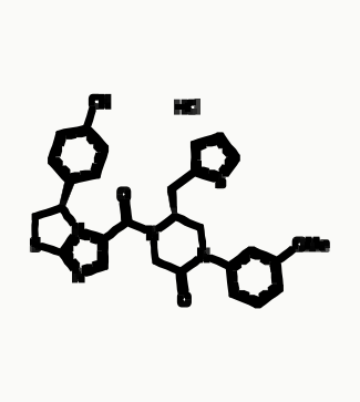 COc1cccc(N2C[C@H](Cc3cccs3)N(C(=O)c3cnc4n3[C@H](c3ccc(C#N)cc3)CS4)CC2=O)c1.Cl